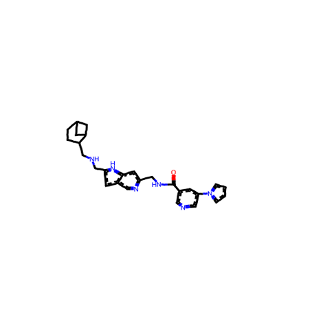 O=C(NCc1cc2[nH]c(CNCC3CCC4CC3C4)cc2cn1)c1cncc(-n2cccc2)c1